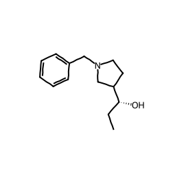 CC[C@@H](O)C1CCN(Cc2ccccc2)C1